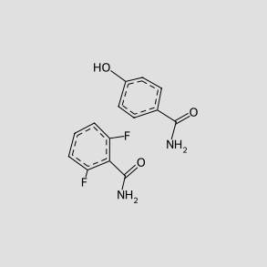 NC(=O)c1c(F)cccc1F.NC(=O)c1ccc(O)cc1